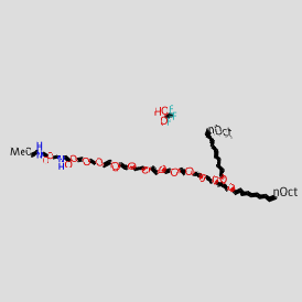 CCCCCCCC/C=C\CCCCCCCCOCC(COCCOCCOCCOCCOCCOCCOCCOCCOCCOCCOC(=O)CNCCOC(=O)CNCCOC)OCCCCCCCC/C=C\CCCCCCCC.O=C(O)C(F)(F)F